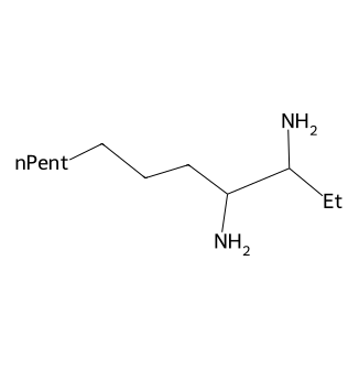 CCCCCCCCC(N)C(N)CC